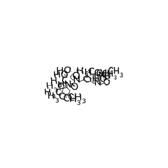 CCOc1cccc(CN(Cc2cccc(CN3O[C@@H](CO)[C@@H]([C@H](C)O)[C@H]3C(=O)N[C@H]3C[C@@H](C)C(C)(C)[C@@H](C)[C@@H]3C)c2)[C@@H](CC(C)C)CN(C)C)c1O